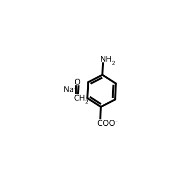 C=O.Nc1ccc(C(=O)[O-])cc1.[Na+]